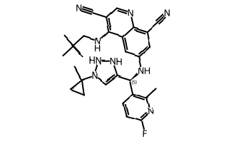 Cc1nc(F)ccc1[C@H](Nc1cc(C#N)c2ncc(C#N)c(NCC(C)(C)C)c2c1)C1=CN(C2(C)CC2)NN1